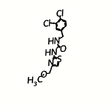 COCc1csc(NC(=O)NCc2ccc(Cl)c(Cl)c2)n1